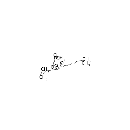 CCC(CC)CCCCCC(COCC(C=O)CCCCCCCCCCC(C)C)OC(=O)CCCN(C)C